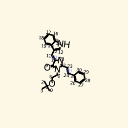 CC(C)(C)OCCN1C(=O)/C(=C/c2c[nH]c3ccccc23)N=C1/C=C/c1ccccc1